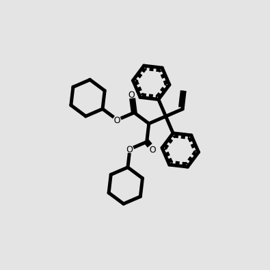 C=CC(c1ccccc1)(c1ccccc1)C(C(=O)OC1CCCCC1)C(=O)OC1CCCCC1